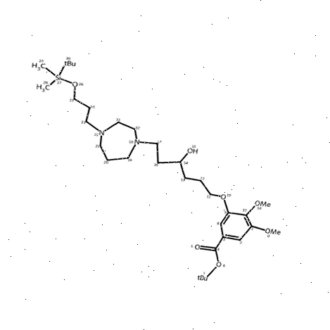 COc1cc(C(=O)OC(C)(C)C)cc(OCCCC(O)CCN2CCCN(CCCO[Si](C)(C)C(C)(C)C)CC2)c1OC